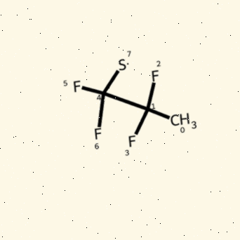 CC(F)(F)C(F)(F)[S]